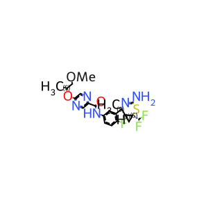 COC[C@H](C)Oc1cnc(C(=O)Nc2ccc(F)c([C@@]3(C)N=C(N)S[C@@]4(C(F)F)C[C@@H]34)c2)cn1